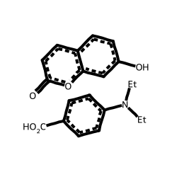 CCN(CC)c1ccc(C(=O)O)cc1.O=c1ccc2ccc(O)cc2o1